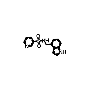 O=S(=O)(NCc1cccc2[nH]ccc12)c1cccnc1